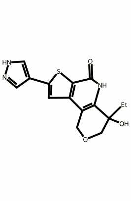 CCC1(O)COCc2c1[nH]c(=O)c1sc(-c3cn[nH]c3)cc21